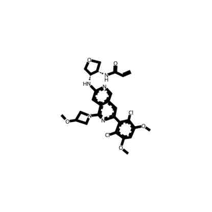 C=CC(=O)N[C@H]1COC[C@H]1Nc1cc2c(N3CC(OC)C3)nc(-c3c(Cl)c(OC)cc(OC)c3Cl)cc2cn1